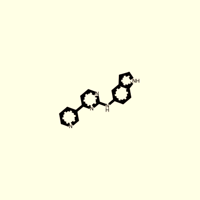 [c]1cc2cc(Nc3nccc(-c4cccnc4)n3)ccc2[nH]1